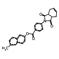 Cc1ccc2cc(OC(=O)c3ccc(N4C(=O)C5CC=CCC5C4=O)cc3)ccc2c1